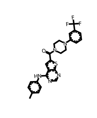 Cc1ccc(Nc2ncnc3sc(C(=O)N4CCN(c5cccc(C(F)(F)F)c5)CC4)cc23)cc1